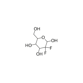 OCC1OC(O)C(F)(F)C(O)C1O